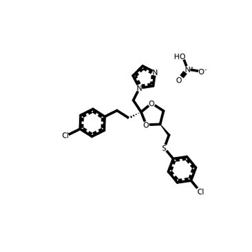 Clc1ccc(CC[C@]2(Cn3ccnc3)OC[C@@H](CSc3ccc(Cl)cc3)O2)cc1.O=[N+]([O-])O